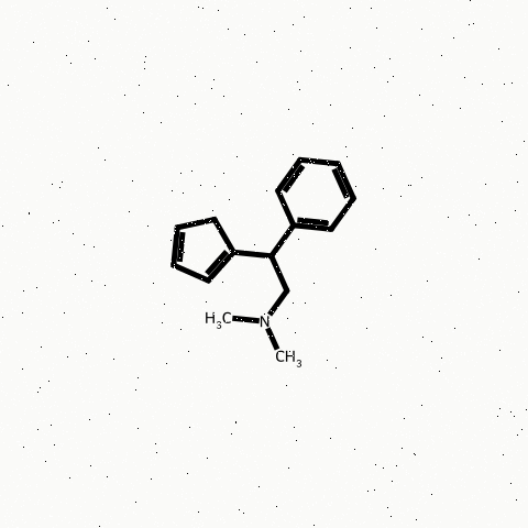 CN(C)CC(C1=CC=CC1)c1ccccc1